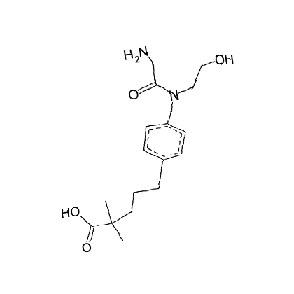 CC(C)(CCCc1ccc(N(CCO)C(=O)CN)cc1)C(=O)O